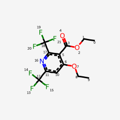 CCOC(=O)c1c(OCC)cc(C(F)(F)F)nc1C(F)(F)F